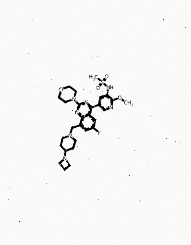 COc1ncc(-c2nc(N3CCOCC3)nc3c(CN4CCC(N5CCC5)CC4)cc(F)cc23)cc1NS(C)(=O)=O